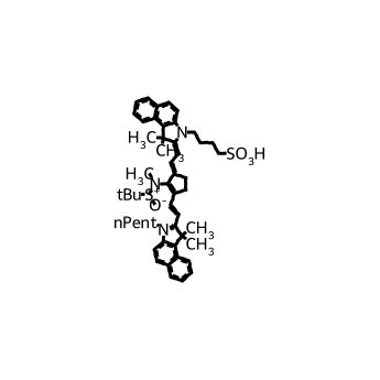 CCCCC[N+]1=C(/C=C/C2=C(N(C)[S+]([O-])C(C)(C)C)C(=C/C=C3/N(CCCCS(=O)(=O)O)c4ccc5ccccc5c4C3(C)C)/CC2)C(C)(C)c2c1ccc1ccccc21